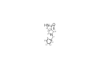 O=C1NCC2CN(Cc3ccccc3)C[C@]12F